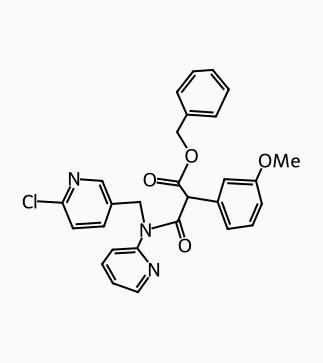 COc1cccc(C(C(=O)OCc2ccccc2)C(=O)N(Cc2ccc(Cl)nc2)c2ccccn2)c1